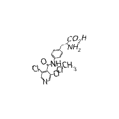 CCl.N[C@@H](Cc1ccc(NC(=O)c2c(Cl)cncc2Cl)cc1)C(=O)O